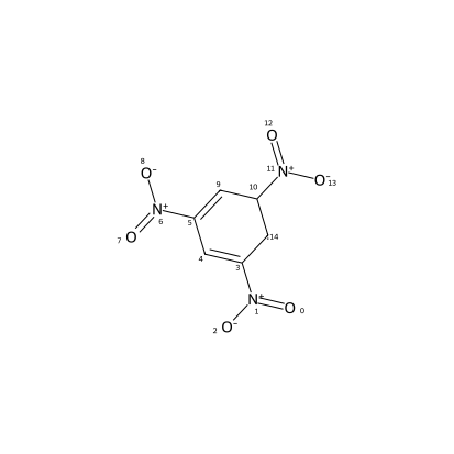 O=[N+]([O-])C1=CC([N+](=O)[O-])=CC([N+](=O)[O-])[CH]1